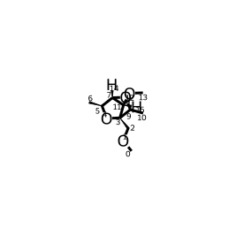 COC[C@]12O[C@@H](C)[C@H](OC1C)[C@@H]2OC